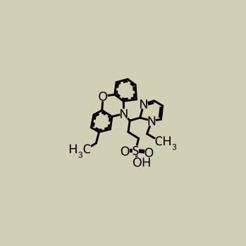 CCc1ccc2c(c1)N(C(CCS(=O)(=O)O)C1N=CC=CN1CC)c1ccccc1O2